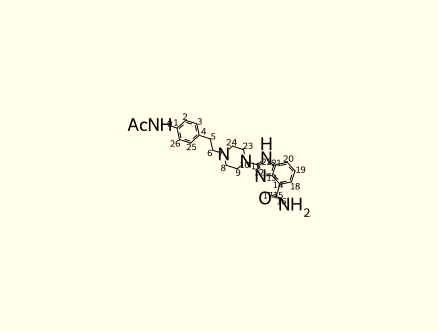 CC(=O)Nc1ccc(CCN2CCN(c3nc4c(C(N)=O)cccc4[nH]3)CC2)cc1